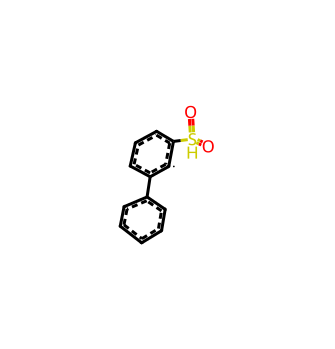 O=[SH](=O)c1[c]c(-c2ccccc2)ccc1